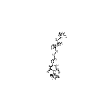 Cc1cc(OCCCC(=O)NCCN)cc(C)c1[SH](=O)=O